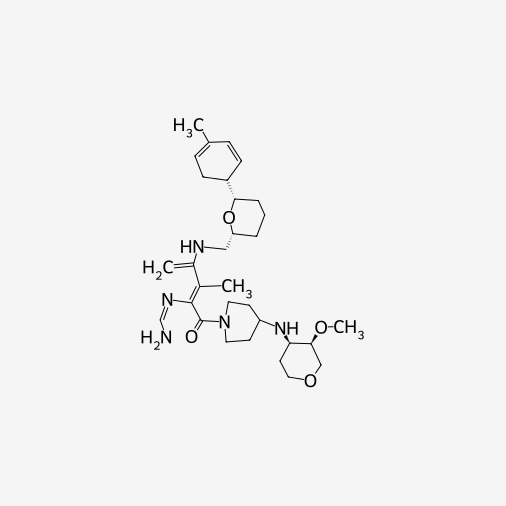 C=C(NC[C@H]1CCC[C@@H](C2C=CC(C)=CC2)O1)/C(C)=C(\N=C/N)C(=O)N1CCC(N[C@@H]2CCOC[C@@H]2OC)CC1